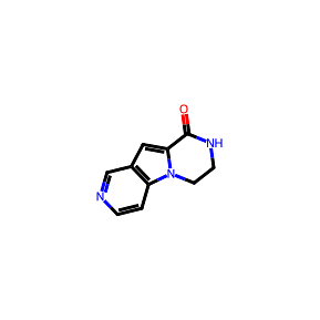 O=C1NCCn2c1cc1cnccc12